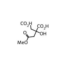 COC(=O)CC(O)(CC(=O)O)C(=O)O